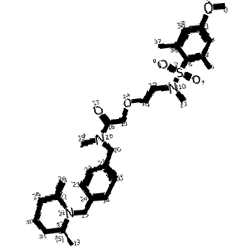 COc1cc(C)c(S(=O)(=O)N(C)CCOCC(=O)N(C)Cc2ccc(CN3C(C)CCC[C@@H]3C)cc2)c(C)c1